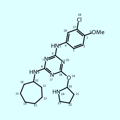 COc1ccc(Nc2nc(NC3CCCCCC3)nc(OC3CCCN3)n2)cc1Cl